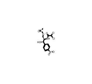 C[14C](=O)OC[C@@H](NC(=O)C(Cl)Cl)[C@H](O)c1ccc([N+](=O)[O-])cc1